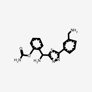 NCc1cccc(-c2nnc(C(N)c3ccccc3OC(N)=O)s2)c1